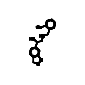 CC(C)(C)c1ccccc1CNCC(O)c1ccc2c(c1)OOC2